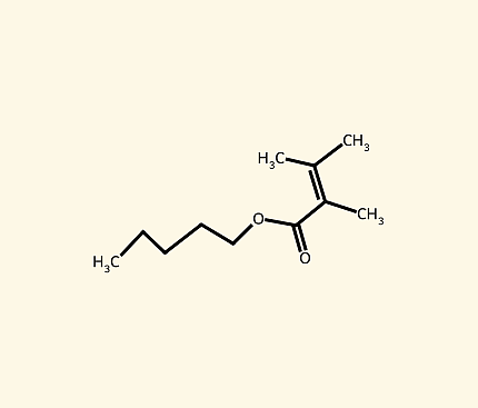 CCCCCOC(=O)C(C)=C(C)C